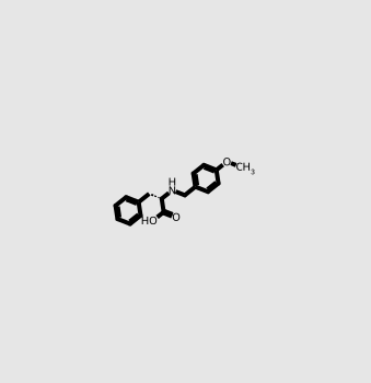 COc1ccc(CN[C@@H](Cc2ccccc2)C(=O)O)cc1